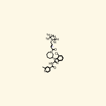 [2H]C([2H])([2H])N(C/C=C/C(=O)N1CCCC[C@@H](n2c(NC(=O)c3ccnc(C)c3)nc3cccc(Cl)c32)C1)C([2H])([2H])[2H]